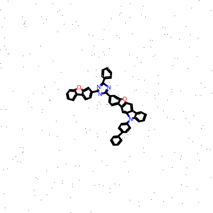 c1ccc(-c2ccc(-n3c4ccccc4c4cc5oc6cc(-c7nc(-c8ccccc8)nc(-c8ccc9c(c8)oc8ccccc89)n7)ccc6c5cc43)cc2)cc1